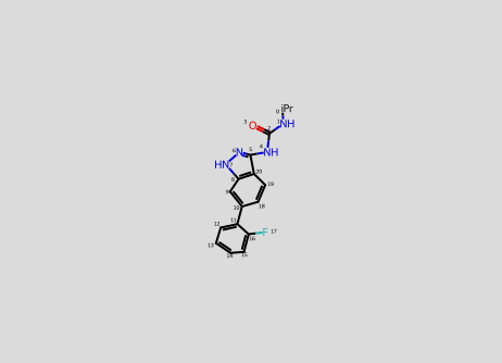 CC(C)NC(=O)Nc1n[nH]c2cc(-c3ccccc3F)ccc12